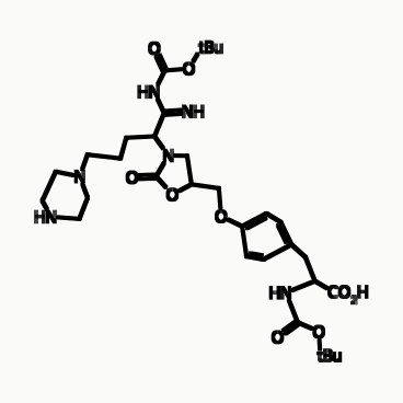 CC(C)(C)OC(=O)NC(=N)C(CCCN1CCNCC1)N1CC(COc2ccc(CC(NC(=O)OC(C)(C)C)C(=O)O)cc2)OC1=O